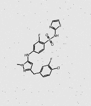 Cn1nc(Cc2ccc(Cl)c(F)c2)cc1Nc1ccc(S(=O)(=O)Nc2nccs2)c(F)c1